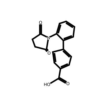 O=C(O)c1ccc(-c2ccccc2N2C(=O)CCC2=O)cc1